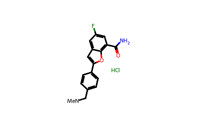 CNCc1ccc(-c2cc3cc(F)cc(C(N)=O)c3o2)cc1.Cl